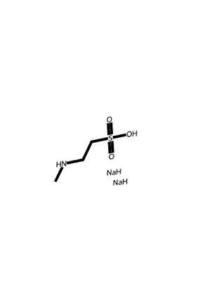 CNCCS(=O)(=O)O.[NaH].[NaH]